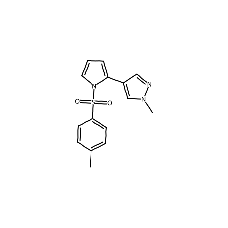 Cc1ccc(S(=O)(=O)n2cccc2-c2cnn(C)c2)cc1